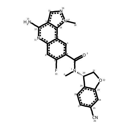 CN(C(=O)c1cc2c(cc1F)nc(N)c1cnn(C)c12)[C@@H]1COc2cc(C#N)ccc21